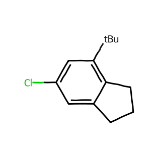 CC(C)(C)c1cc(Cl)cc2c1CCC2